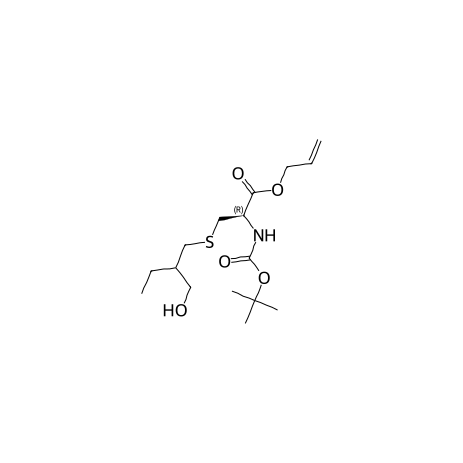 C=CCOC(=O)[C@H](CSCC(CC)CO)NC(=O)OC(C)(C)C